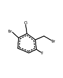 Fc1ccc(Br)c(Cl)c1CBr